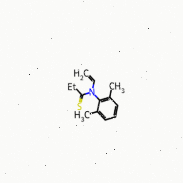 C=CN(C(=S)CC)c1c(C)cccc1C